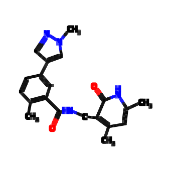 Cc1cc(C)c(CNC(=O)c2[c]c(-c3cnn(C)c3)ccc2C)c(=O)[nH]1